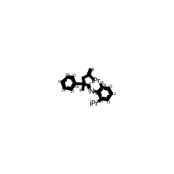 C=C(C)CC(C)(C=Nc1c(C(C)C)cccc1C(C)C)c1ccccc1